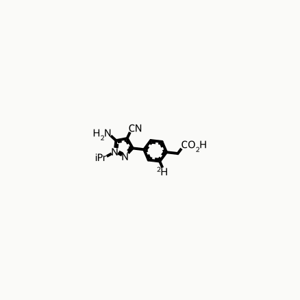 [2H]c1cc(-c2nn(C(C)C)c(N)c2C#N)ccc1CC(=O)O